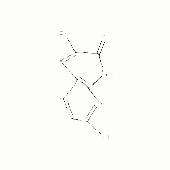 CCc1cc2ccc(C(C)C)nc2[nH]c1=O